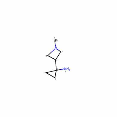 CC(C)N1CC(C2(N)CC2)C1